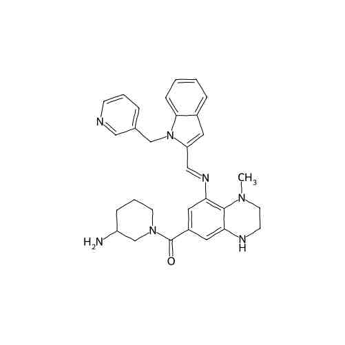 CN1CCNc2cc(C(=O)N3CCCC(N)C3)cc(/N=C/c3cc4ccccc4n3Cc3cccnc3)c21